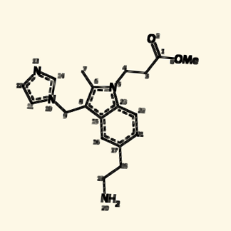 COC(=O)CCn1c(C)c(Cn2ccnc2)c2cc(CCN)ccc21